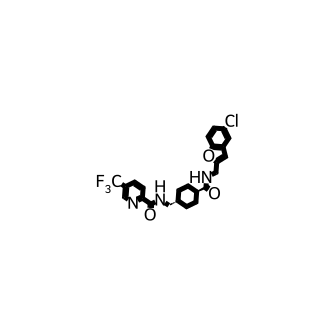 O=C(NC[C@H]1CC[C@H](C(=O)NCc2cc3cc(Cl)ccc3o2)CC1)c1ccc(C(F)(F)F)cn1